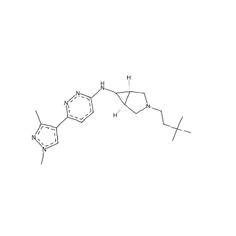 Cc1nn(C)cc1-c1ccc(NC2[C@H]3CN(CCC(C)(C)C)C[C@@H]23)nn1